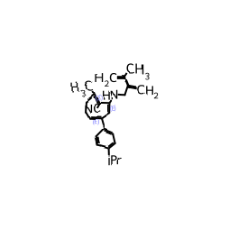 C=C(C)C(=C)CNC1=C/C(c2ccc(C(C)C)cc2)=C\CC\C(C)=C\1C#N